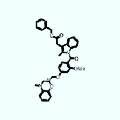 COc1cc(OC[C@@H]2CN(C)c3ccccc3O2)ccc1C(=O)n1c(C)c(CC(=O)OCc2ccccc2)c2ccccc21